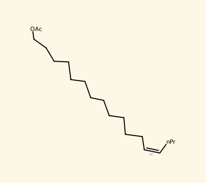 CCC/C=C\CCCCCCCCCCCCOC(C)=O